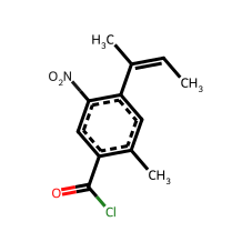 C/C=C(/C)c1cc(C)c(C(=O)Cl)cc1[N+](=O)[O-]